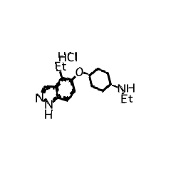 CCN[C@H]1CC[C@@H](Oc2ccc3[nH]ncc3c2CC)CC1.Cl